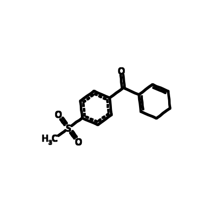 CS(=O)(=O)c1ccc(C(=O)C2=CCCC=C2)cc1